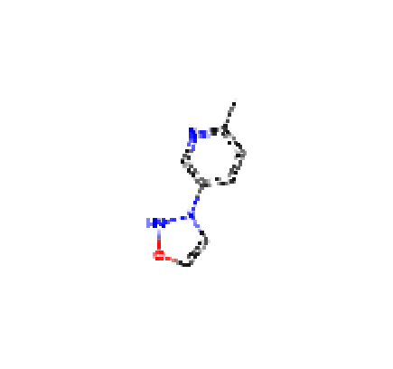 Cc1ccc(N2C=[C]ON2)cn1